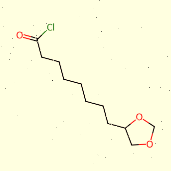 O=C(Cl)CCCCCCCC1COCO1